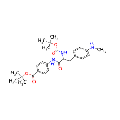 CNc1ccc(CC(NC(=O)OC(C)(C)C)C(=O)Nc2ccc(C(=O)OC(C)(C)C)cc2)cc1